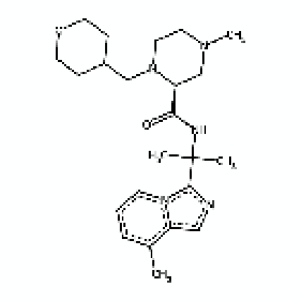 Cc1cccn2c(C(C)(C)NC(=O)[C@@H]3CN(C)CCN3CC3CCOCC3)ncc12